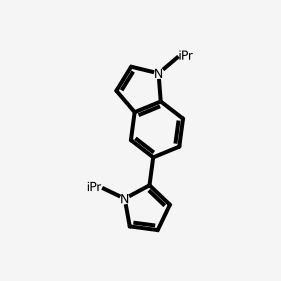 CC(C)n1cccc1-c1ccc2c(ccn2C(C)C)c1